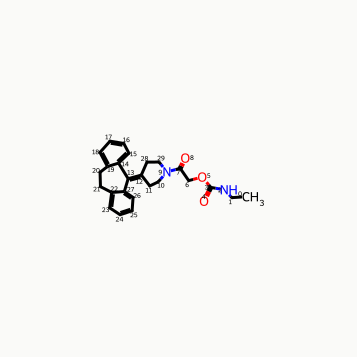 CCNC(=O)OCC(=O)N1CCC(=C2c3ccccc3CCc3ccccc32)CC1